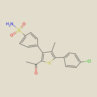 CC(=O)c1sc(-c2ccc(Cl)cc2)c(C)c1-c1ccc(S(N)(=O)=O)cc1